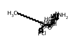 CCCCCCCCCCCCCCCCCCOC[C@H](COP(=O)(O)OC1[C@H]2O[C@@](C#N)(c3ccc4c(N)ncnn34)[C@H](O)[C@@]12O)OCc1ccc(F)c(Cl)c1